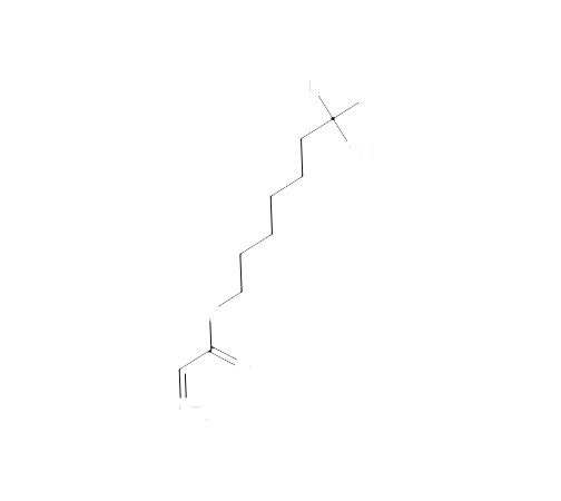 C=CC(=O)OCCCCCCC(F)(F)[SiH3]